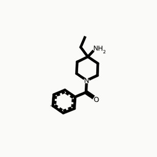 CCC1(N)CCN(C(=O)c2cc[c]cc2)CC1